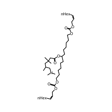 CCCCCC/C=C\COC(=O)OCCCCCCC(CCCCCCOC(=O)OC/C=C\CCCCCC)OC(=O)CC(C)(C)CC(C)CN(C)C